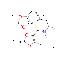 C=C1OC(C)=C(CN(C)[C@@H](C)Cc2ccc3c(c2)OCO3)O1